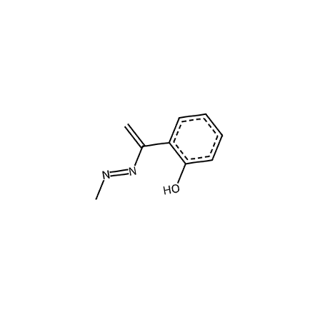 C=C(N=NC)c1ccccc1O